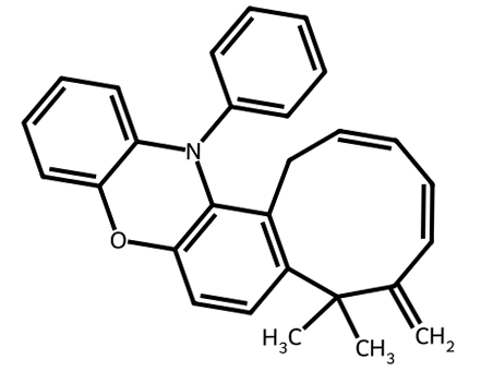 C=C1/C=C\C=C/Cc2c(ccc3c2N(c2ccccc2)c2ccccc2O3)C1(C)C